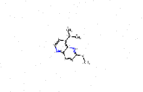 CCc1ccc2nccc(C(C)C)c2n1